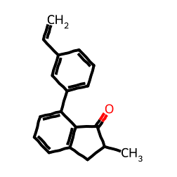 C=Cc1cccc(-c2cccc3c2C(=O)C(C)C3)c1